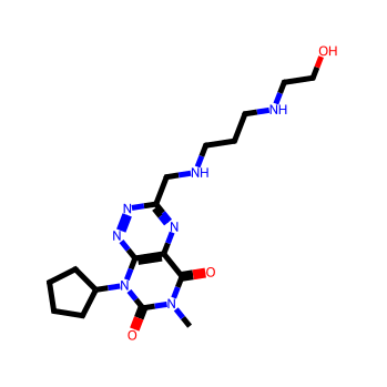 Cn1c(=O)c2nc(CNCCCNCCO)nnc2n(C2CCCC2)c1=O